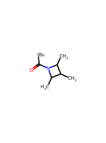 CC1C(C)N(C(=O)C(C)(C)C)C1C